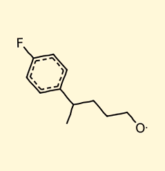 CC(CCC[O])c1ccc(F)cc1